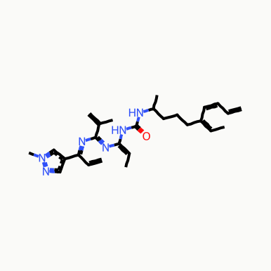 C=C/C=C\C(=C/C)CCCC(C)NC(=O)NC(=C/C)/N=C(/N=C(\C=C)c1cnn(C)c1)C(=C)C